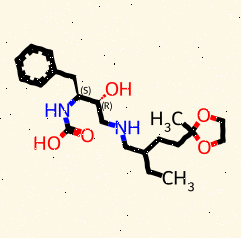 CCC(CCC1(C)OCCO1)CNC[C@@H](O)[C@H](Cc1ccccc1)NC(=O)O